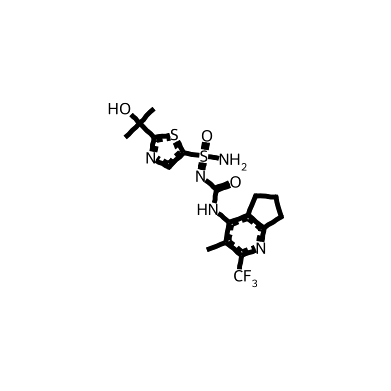 Cc1c(C(F)(F)F)nc2c(c1NC(=O)N=S(N)(=O)c1cnc(C(C)(C)O)s1)CCC2